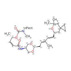 CCCCCN(C)C(=O)O[C@@H](C)/C=C\C(=O)N[C@H]1CO[C@@H](C/C=C(C)/C=C/[C@@H]2CC3(CC3)CC(C)(C)O2)OC1